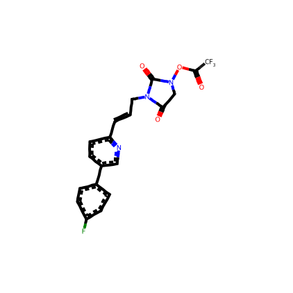 O=C1CN(OC(=O)C(F)(F)F)C(=O)N1CC=Cc1ccc(-c2ccc(F)cc2)cn1